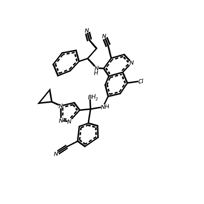 BC(Nc1cc(Cl)c2ncc(C#N)c(NC(CC#N)c3ccccc3)c2c1)(c1cccc(C#N)c1)c1cn(C2CC2)nn1